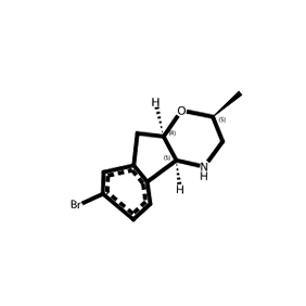 C[C@H]1CN[C@H]2c3ccc(Br)cc3C[C@H]2O1